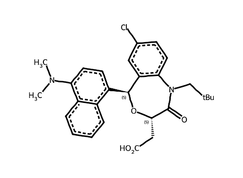 CN(C)c1ccc([C@@H]2O[C@@H](CC(=O)O)C(=O)N(CC(C)(C)C)c3ccc(Cl)cc32)c2ccccc12